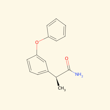 C[C@H](C(N)=O)c1cccc(Oc2ccccc2)c1